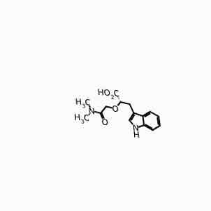 CN(C)C(=O)CO[C@@H](Cc1c[nH]c2ccccc12)C(=O)O